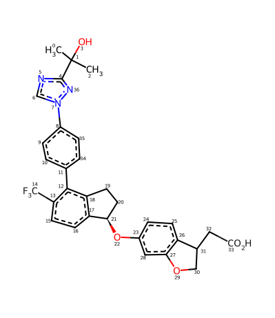 CC(C)(O)c1ncn(-c2ccc(-c3c(C(F)(F)F)ccc4c3CC[C@H]4Oc3ccc4c(c3)OCC4CC(=O)O)cc2)n1